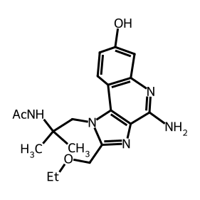 CCOCc1nc2c(N)nc3cc(O)ccc3c2n1CC(C)(C)NC(C)=O